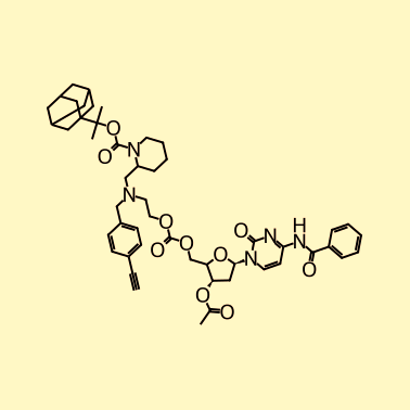 C#Cc1ccc(CN(CCOC(=O)OCC2O[C@@H](n3ccc(NC(=O)c4ccccc4)nc3=O)C[C@H]2OC(C)=O)CC2CCCCN2C(=O)OC(C)(C)C23CC4CC(CC(C4)C2)C3)cc1